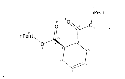 CCCCCOC(=O)[C@@H]1CC=CC[C@H]1C(=O)OCCCCC